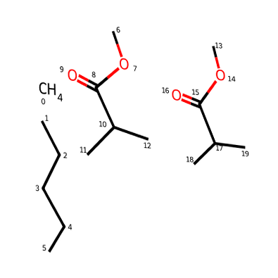 C.CCCCC.COC(=O)C(C)C.COC(=O)C(C)C